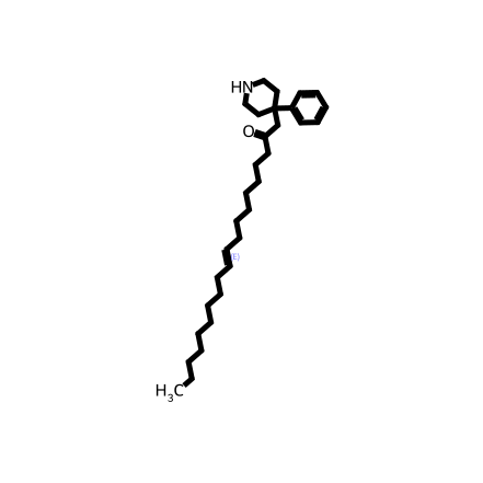 CCCCCCCCC/C=C/CCCCCCCC(=O)CC1(c2ccccc2)CCNCC1